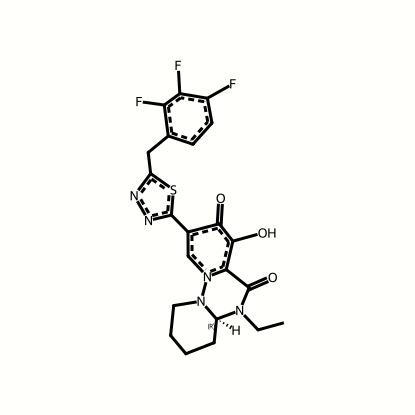 CCN1C(=O)c2c(O)c(=O)c(-c3nnc(Cc4ccc(F)c(F)c4F)s3)cn2N2CCCC[C@H]12